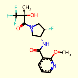 COc1ncccc1C(=O)N[C@@H]1CN(C(=O)[C@@](C)(O)C(F)(F)F)C[C@@H]1F